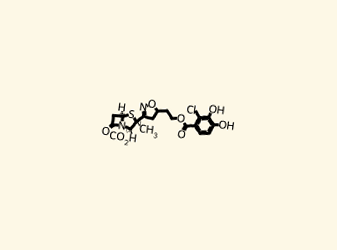 C[C@@]1(C2=NOC(CCOC(=O)c3ccc(O)c(O)c3Cl)C2)S[C@@H]2CC(=O)N2[C@H]1C(=O)O